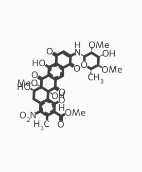 COC(=O)c1c(C)c([N+](=O)[O-])c2c(c1O)[C@]1(O)C(=O)c3cc4c(c(O)c3C(=O)[C@]1(OC)[C@H](O)C2)C(=O)C=C(N[C@H]1O[C@@H](C)[C@H](OC)[C@@H](O)[C@H]1OC)C4=O